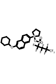 O=S(=O)(OS1(c2ccc3cc(OC4CCCCC4)ccc3c2)CCCC1)C(F)(F)C(F)(F)C(F)(F)C(F)(F)F